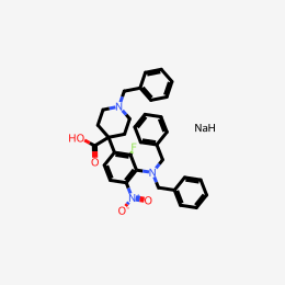 O=C(O)C1(c2ccc([N+](=O)[O-])c(N(Cc3ccccc3)Cc3ccccc3)c2F)CCN(Cc2ccccc2)CC1.[NaH]